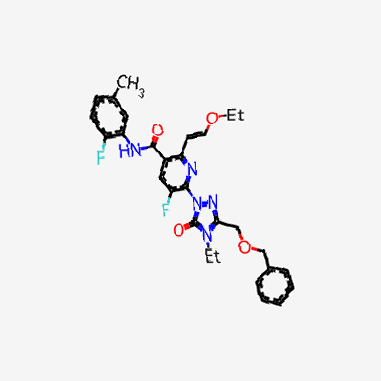 CCOC=Cc1nc(-n2nc(COCc3ccccc3)n(CC)c2=O)c(F)cc1C(=O)Nc1cc(C)ccc1F